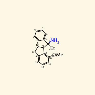 CCC(N)(c1ccccc1)C1CCc2cccc(OC)c21